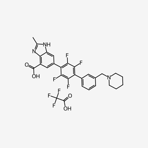 Cc1nc2c(C(=O)O)cc(-c3c(F)c(F)c(-c4cccc(CN5CCCCC5)c4)c(F)c3F)cc2[nH]1.O=C(O)C(F)(F)F